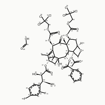 CC(=O)O[C@@]12CO[C@@H]1C[C@H](OC(=O)OCC(Cl)(Cl)Cl)[C@@]1(C)C(=O)[C@H](OC(=O)OCC(Cl)(Cl)Cl)C3=C(C)[C@@H](OC(=O)[C@H](O)[C@@H](N)c4ccc(F)cc4F)C[C@@](O)([C@@H](OC(=O)c4ccccc4)[C@H]21)C3(C)C.O=CO